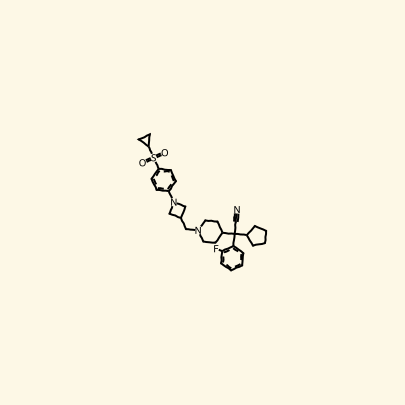 N#CC(c1ccccc1F)(C1CCCC1)C1CCN(CC2CN(c3ccc(S(=O)(=O)C4CC4)cc3)C2)CC1